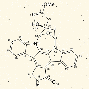 COC(=O)C[C@]1(O)CC2O[C@@]1(C)n1c3ccccc3c3c4c(c5c6ccccc6n2c5c31)C(=O)NC4